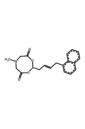 CN1CC(=O)OB(CC=CCc2cccc3ccccc23)OC(=O)C1